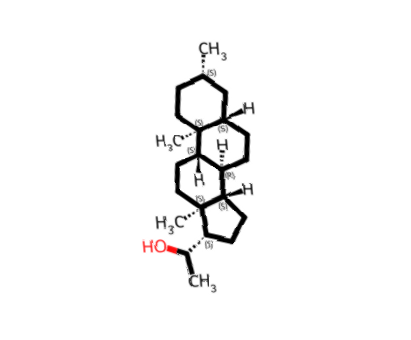 CC(O)[C@H]1CC[C@H]2[C@@H]3CC[C@H]4C[C@@H](C)CC[C@]4(C)[C@H]3CC[C@]12C